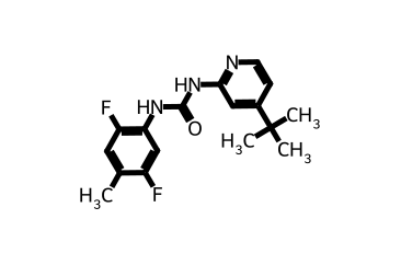 Cc1cc(F)c(NC(=O)Nc2cc(C(C)(C)C)ccn2)cc1F